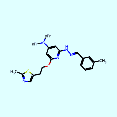 CCCN(CCC)c1cc(N/N=C/c2cccc(C)c2)nc(OCCc2cnc(C)s2)c1